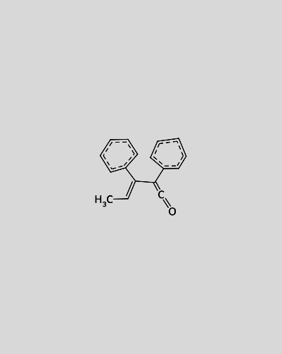 CC=C(C(=C=O)c1ccccc1)c1ccccc1